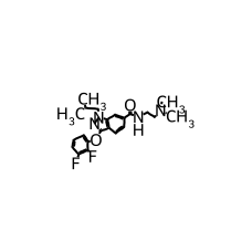 CC(C)Cn1nc(Oc2cccc(F)c2F)c2ccc(C(=O)NCCN(C)C)cc21